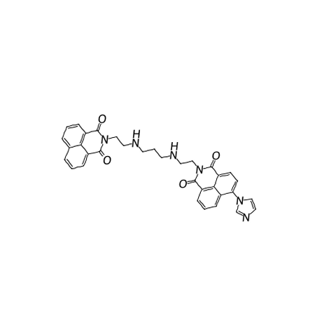 O=C1c2cccc3cccc(c23)C(=O)N1CCNCCCNCCN1C(=O)c2cccc3c(-n4ccnc4)ccc(c23)C1=O